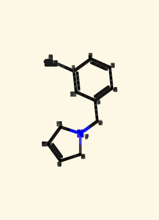 CC(C)(C)c1cccc(CN2CC=CC2)c1